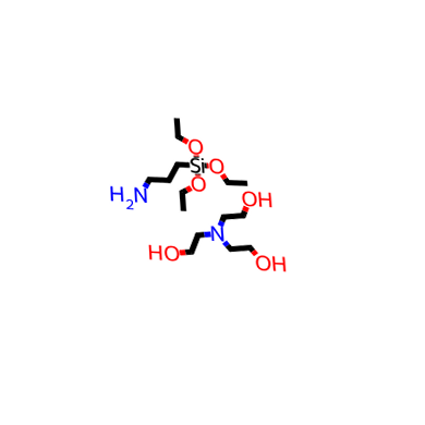 CCO[Si](CCCN)(OCC)OCC.OCCN(CCO)CCO